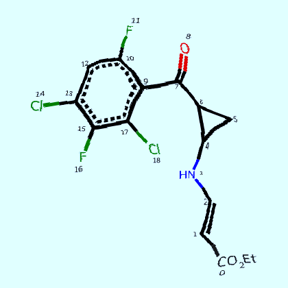 CCOC(=O)C=CNC1CC1C(=O)c1c(F)cc(Cl)c(F)c1Cl